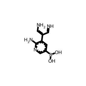 N=C/C(=C\N)c1cc(B(O)O)cnc1N